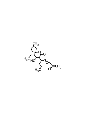 C=C(Cl)CON=C(CCC)C1=C(O)C(CC)C2(CCC(C)C2)OC1=O